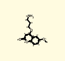 COc1ccc2oc(=O)cc(OCCCN)c2c1